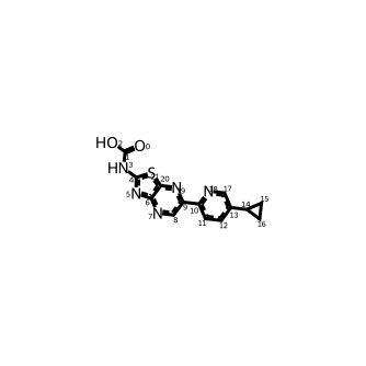 O=C(O)Nc1nc2ncc(-c3ccc(C4CC4)cn3)nc2s1